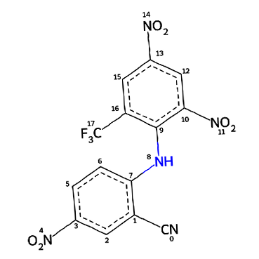 N#Cc1cc([N+](=O)[O-])ccc1Nc1c([N+](=O)[O-])cc([N+](=O)[O-])cc1C(F)(F)F